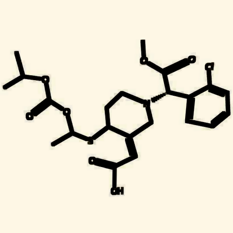 COC(=O)[C@H](c1ccccc1Cl)N1CCC(SC(C)OC(=O)OC(C)C)/C(=C\C(=O)O)C1